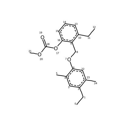 CCc1cc(C)c(OCc2c(CC)cccc2OC(=O)OC)cc1C